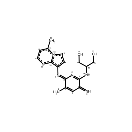 N=C1C=C(N)/C(=N/c2cnn3c(N)ccnc23)N=C1NC(CO)CO